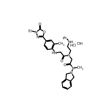 CCn1nc(-c2ccc(NCC(=O)N(CCNC(C)C)CC(=O)N(C)N3Cc4ccccc4C3)c(C)c2)oc1=O.Cl.Cl